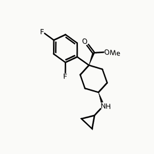 COC(=O)[C@]1(c2ccc(F)cc2F)CC[C@H](NC2CC2)CC1